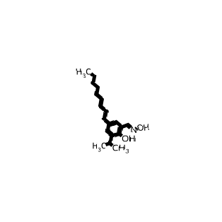 CCCCCCCCCc1cc(C=NO)c(O)c(C(C)C)c1